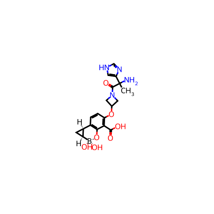 CC(N)(C(=O)N1CC(Oc2ccc3c(c2C(=O)O)O[B-](O)(O)[C@H]2C[C@@H]32)C1)c1c[nH]cn1